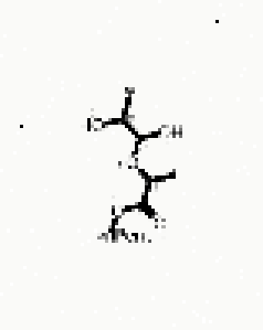 CCCCCOC(=O)C(C)OC(O)C(C)O